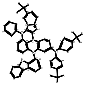 CC(C)(C)c1ccc(N(c2ccc(C(C)(C)C)cc2)c2ccc3c(c2)N(c2cccc4c2oc2ccccc24)c2cccc4c2B3c2nc3ccc(C(C)(C)C)cn3c2N4c2ccccc2)cc1